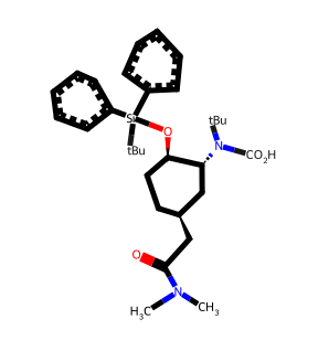 CN(C)C(=O)C[C@H]1CC[C@@H](O[Si](c2ccccc2)(c2ccccc2)C(C)(C)C)[C@H](N(C(=O)O)C(C)(C)C)C1